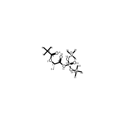 C[C@H](OC(=O)C(C)(C)C)C(=O)OP(=O)(O[Si](C)(C)C)O[Si](C)(C)C